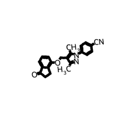 Cc1nn(-c2ccc(C#N)cc2)c(C)c1COc1cccc2c1CCC2=O